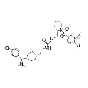 COc1ccc(S(=O)(=O)N2CCCCC2COCC(=O)NCCC2CCC(C(c3ccc(Cl)cc3)N(C)C)CC2)cc1OC